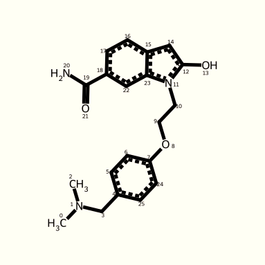 CN(C)Cc1ccc(OCCn2c(O)cc3ccc(C(N)=O)cc32)cc1